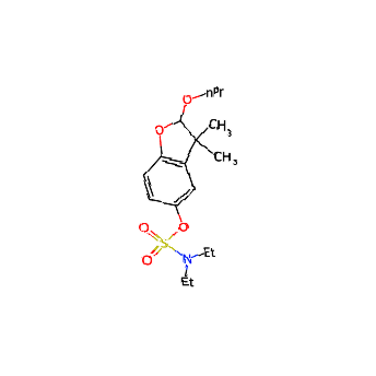 CCCOC1Oc2ccc(OS(=O)(=O)N(CC)CC)cc2C1(C)C